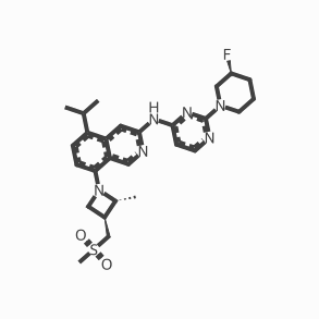 CC(C)c1ccc(N2C[C@H](CS(C)(=O)=O)[C@H]2C)c2cnc(Nc3ccnc(N4CCC[C@H](F)C4)n3)cc12